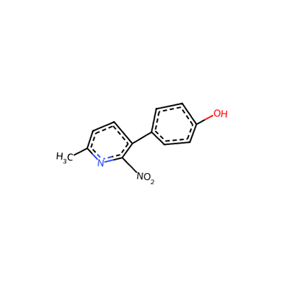 Cc1ccc(-c2ccc(O)cc2)c([N+](=O)[O-])n1